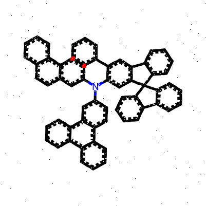 c1ccc(-c2cc3c(cc2N(c2ccc4c(ccc5ccccc54)c2)c2ccc4c5ccccc5c5ccccc5c4c2)C2(c4ccccc4-c4ccccc42)c2ccccc2-3)cc1